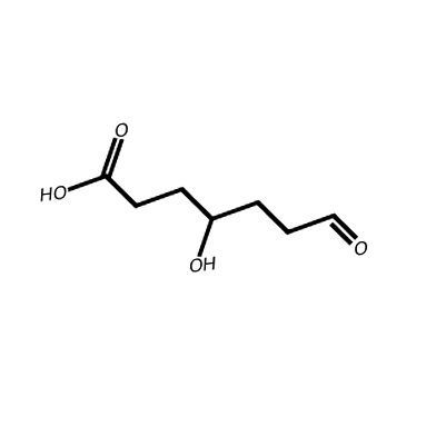 O=CCCC(O)CCC(=O)O